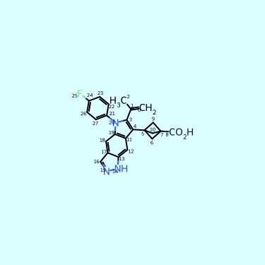 C=C(C)c1c(C23CC(C(=O)O)(C2)C3)c2cc3[nH]ncc3cc2n1-c1ccc(F)cc1